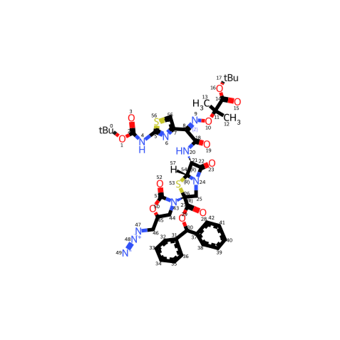 CC(C)(C)OC(=O)Nc1nc(/C(=N/OC(C)(C)C(=O)OC(C)(C)C)C(=O)N[C@@H]2C(=O)N3C[C@@](C(=O)OC(c4ccccc4)c4ccccc4)(N4CC(CN=[N+]=[N-])OC4=O)S[C@H]23)cs1